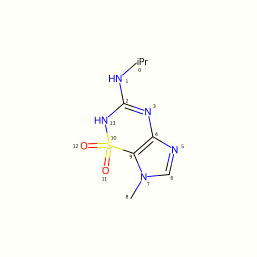 CC(C)NC1=Nc2ncn(C)c2S(=O)(=O)N1